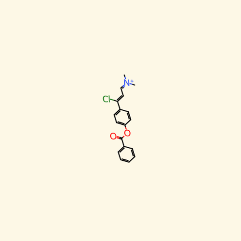 C[N+](C)=C/C=C(\Cl)c1ccc(OC(=O)c2ccccc2)cc1